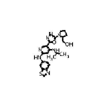 CC(C)Nc1cc(Nc2ccc3ncsc3c2)ncc1-c1nnc(N2CCCC2CO)o1